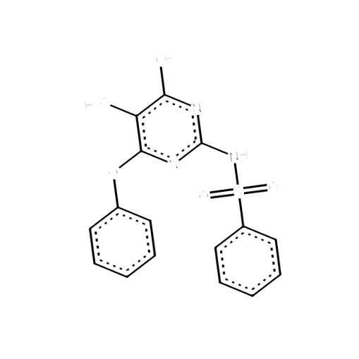 Cc1nc(NS(=O)(=O)c2ccccc2)nc(Oc2ccccc2)c1C